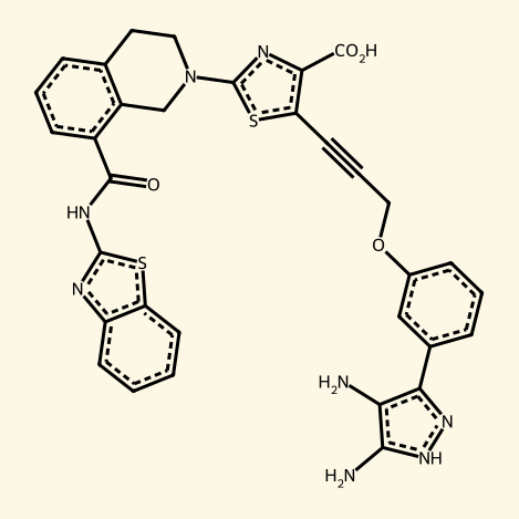 Nc1[nH]nc(-c2cccc(OCC#Cc3sc(N4CCc5cccc(C(=O)Nc6nc7ccccc7s6)c5C4)nc3C(=O)O)c2)c1N